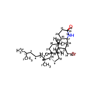 CC(C)CCC[C@@H](C)[C@H]1CC[C@H]2[C@@H]3C(CBr)CC4NC(=O)CC[C@]4(C)[C@H]3CC[C@]12C